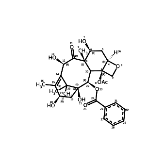 CC(=O)O[C@]12CO[C@@H]1C[C@H](O)[C@@]1(C)C(=O)[C@H](O)C3=C(C)[C@H](O)C[C@@](O)([C@H](OC(=O)c4ccccc4)C21)C3(C)C